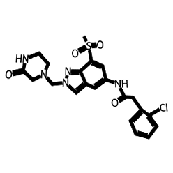 CS(=O)(=O)c1cc(NC(=O)Cc2ccccc2Cl)cc2cn(CN3CCNC(=O)C3)nc12